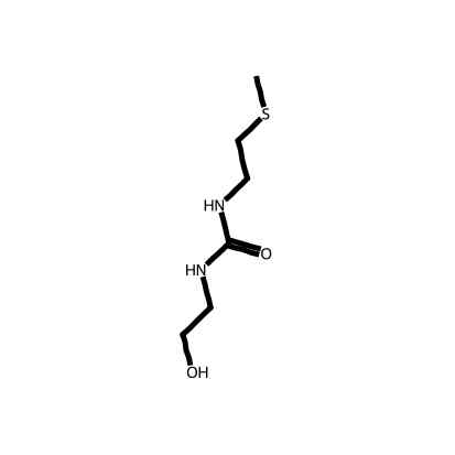 CSCCNC(=O)NCCO